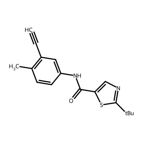 C#Cc1cc(NC(=O)c2cnc(C(C)(C)C)s2)ccc1C